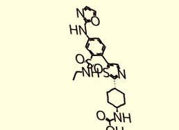 CCNS(=O)(=O)c1cc(Nc2ncco2)ccc1-c1cnc([C@H]2CC[C@H](NC(=O)O)CC2)s1